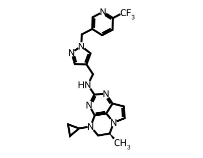 C[C@H]1CN(C2CC2)c2nc(NCc3cnn(Cc4ccc(C(F)(F)F)nc4)c3)nc3ccn1c23